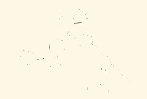 CC/C(=C(/c1ccc(OCCN(CC=O)C(=O)OC(C)(C)C)cc1)c1ccc2c(cnn2C2CCCCO2)c1)c1ccccc1C